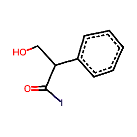 O=C(I)C(CO)c1ccccc1